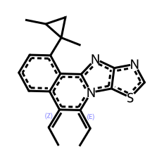 C/C=c1\c(=C/C)n2c(nc3ncsc32)c2c(C3(C)CC3C)cccc12